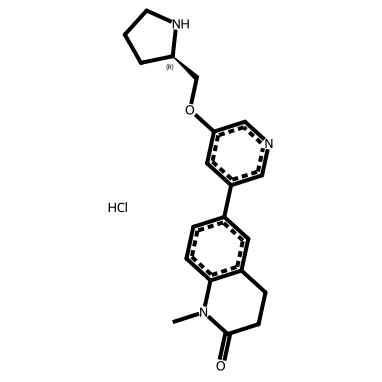 CN1C(=O)CCc2cc(-c3cncc(OC[C@H]4CCCN4)c3)ccc21.Cl